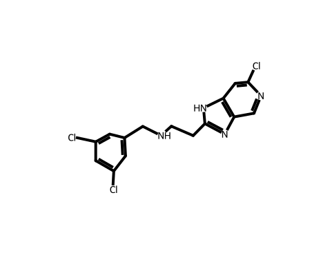 Clc1cc(Cl)cc(CNCCc2nc3cnc(Cl)cc3[nH]2)c1